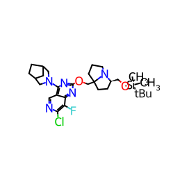 CC(C)(C)[Si](C)(C)OC[C@H]1CCC2(COc3nc(N4CC5CCC(C5)C4)c4cnc(Cl)c(F)c4n3)CCCN12